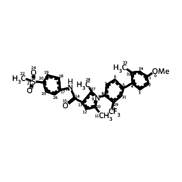 COc1ccc(-c2ccc(-n3c(C)cc(C(=O)Nc4ccc(S(C)(=O)=O)cc4)c3C)c(C(F)(F)F)c2)c(C)c1